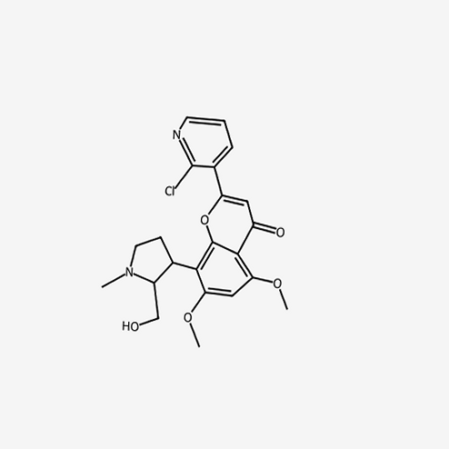 COc1cc(OC)c2c(=O)cc(-c3cccnc3Cl)oc2c1C1CCN(C)C1CO